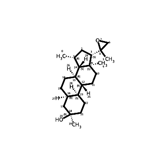 C[C@@H]1C[C@H](C2(C)CO2)[C@@]2(C)CC[C@H]3[C@@H](CC[C@@H]4C[C@](C)(O)CC[C@@H]43)[C@H]12